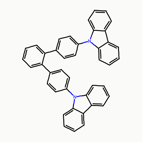 c1ccc(-c2ccc(-n3c4ccccc4c4ccccc43)cc2)c(-c2ccc(-n3c4ccccc4c4ccccc43)cc2)c1